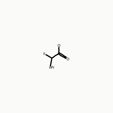 CCCC(F)C([O])=O